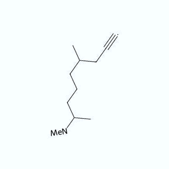 [C]#CCC(C)CCCC(C)NC